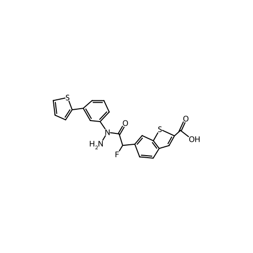 NN(C(=O)C(F)c1ccc2cc(C(=O)O)sc2c1)c1cccc(-c2cccs2)c1